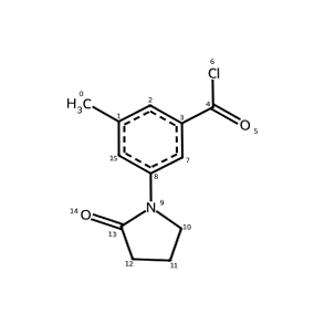 Cc1cc(C(=O)Cl)cc(N2CCCC2=O)c1